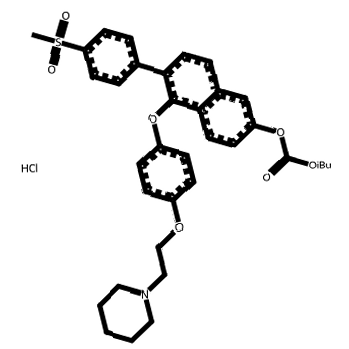 CC(C)COC(=O)Oc1ccc2c(Oc3ccc(OCCN4CCCCC4)cc3)c(-c3ccc(S(C)(=O)=O)cc3)ccc2c1.Cl